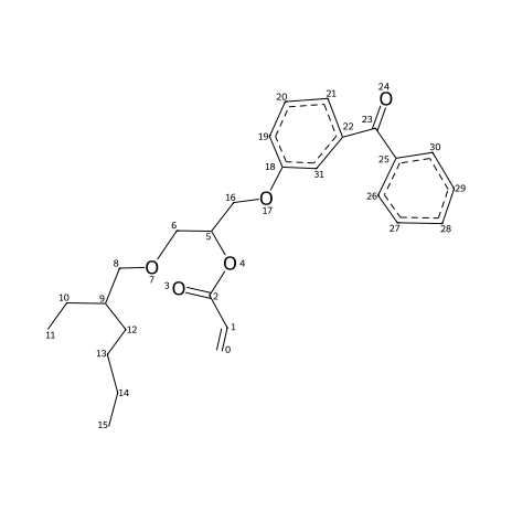 C=CC(=O)OC(COCC(CC)CCCC)COc1cccc(C(=O)c2ccccc2)c1